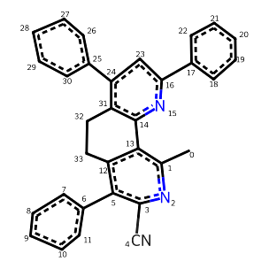 Cc1nc(C#N)c(-c2ccccc2)c2c1-c1nc(-c3ccccc3)cc(-c3ccccc3)c1CC2